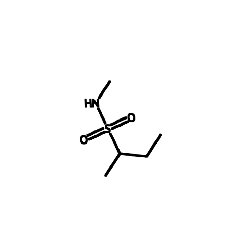 CCC(C)S(=O)(=O)NC